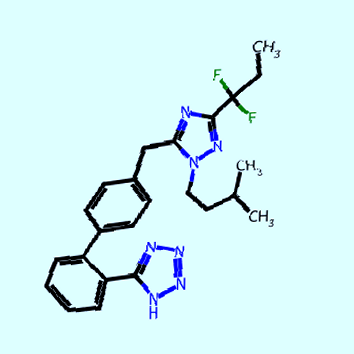 CCC(F)(F)c1nc(Cc2ccc(-c3ccccc3-c3nnn[nH]3)cc2)n(CCC(C)C)n1